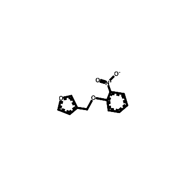 O=[N+]([O-])c1ccccc1OCc1ccoc1